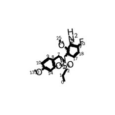 CCCS(=O)(=O)N(Cc1ccc(OC)cc1)c1ccc(F)c(N)c1OC